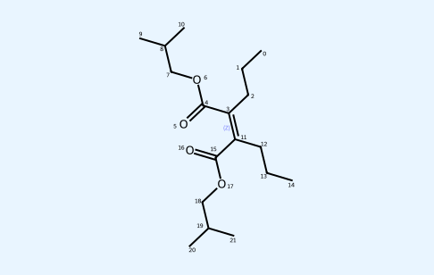 CCC/C(C(=O)OCC(C)C)=C(\CCC)C(=O)OCC(C)C